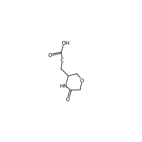 O=C(O)CCC1COCC(=O)N1